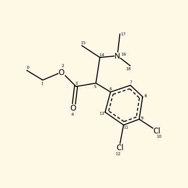 CCOC(=O)C(c1ccc(Cl)c(Cl)c1)C(C)N(C)C